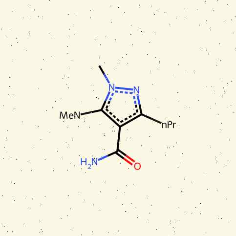 CCCc1nn(C)c(NC)c1C(N)=O